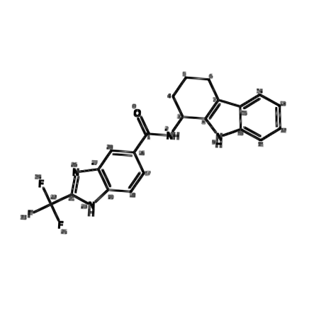 O=C(NC1CCCc2c1[nH]c1ccccc21)c1ccc2[nH]c(C(F)(F)F)nc2c1